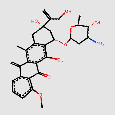 C=C1c2cccc(OC)c2C(=O)c2c(O)c3c(c(C)c21)C[C@@](O)(C(=C)CO)C[C@@H]3OC1C[C@H](N)[C@@H](O)[C@H](C)O1